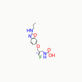 CCCNc1nc2ccc(OC/C(=C/F)CNC(=O)O)cc2o1